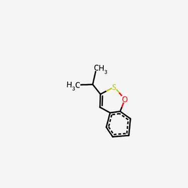 CC(C)C1=Cc2ccccc2OS1